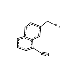 N#Cc1cccc2ccc(CN)cc12